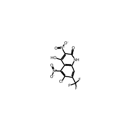 O=c1[nH]c2cc(C(F)(F)F)c(Cl)c([N+](=O)[O-])c2c(O)c1[N+](=O)[O-]